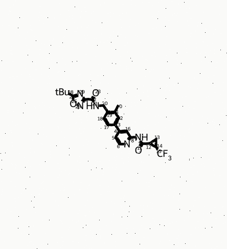 Cc1cc(-c2ccnc(NC(=O)C3CC3C(F)(F)F)c2)ccc1CNC(=O)c1noc(C(C)(C)C)n1